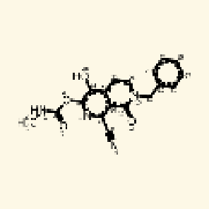 CNC(=O)Oc1nc(C#N)c2c(=O)n(Cc3ccccc3)ccc2c1O